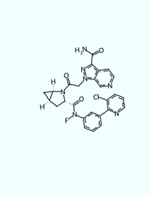 NC(=O)c1nn(CC(=O)N2[C@@H]3C[C@@H]3C[C@H]2C(=O)N(F)c2cccc(-c3ncccc3Cl)c2)c2cnccc12